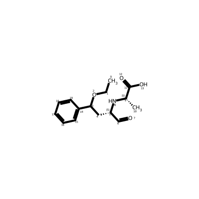 CCOC(C[C@@H](C=O)N[C@@H](C)C(=O)O)c1ccccc1